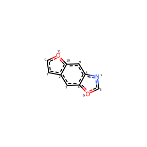 c1cc2cc3ocnc3cc2o1